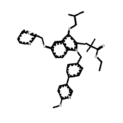 CCOC(=O)C(C)(C)Cc1c(SCC(C)C)c2cc(OCc3ccccn3)ccc2n1Cc1ccc(-c2ccc(OC)nc2)cc1